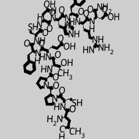 CC(C)C[C@H](N)C(=O)N[C@@H](CS)C(=O)N1CCC[C@H]1C(=O)N1CCC[C@H]1C(=O)N[C@H](C(=O)N[C@@H](CCC(=O)O)C(=O)N[C@@H](Cc1ccccc1)C(=O)N[C@@H](CS)C(=O)N[C@@H](CC(=O)O)C(=O)N[C@@H](Cc1c[nH]cn1)C(=O)N[C@@H](Cc1ccccc1)C(=O)N[C@@H](CCCNC(=N)N)C(=O)N[C@@H](CC(=O)O)C(N)=O)[C@@H](C)O